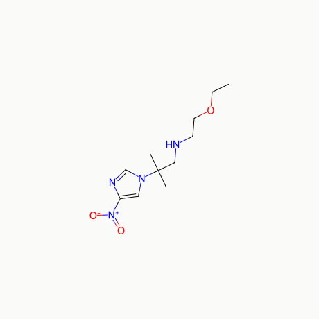 CCOCCNCC(C)(C)n1cnc([N+](=O)[O-])c1